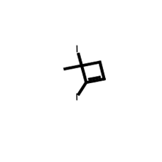 CC1(I)CC=C1I